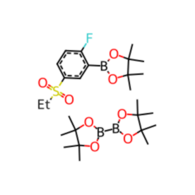 CC1(C)OB(B2OC(C)(C)C(C)(C)O2)OC1(C)C.CCS(=O)(=O)c1ccc(F)c(B2OC(C)(C)C(C)(C)O2)c1